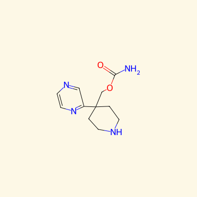 NC(=O)OCC1(c2cnccn2)CCNCC1